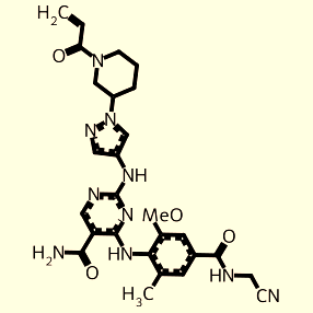 C=CC(=O)N1CCCC(n2cc(Nc3ncc(C(N)=O)c(Nc4c(C)cc(C(=O)NCC#N)cc4OC)n3)cn2)C1